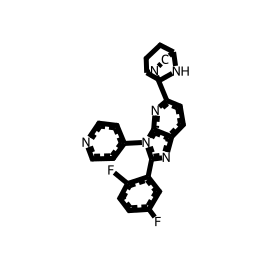 Fc1ccc(F)c(-c2nc3ccc(N4CC5CCC4CN5)nc3n2-c2ccncc2)c1